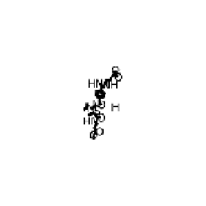 COC(=O)CCCNC(=N)c1ccc(C(=O)N=C2SC(C(=O)NCCC(=O)OC)C(C)N2C(C)C)cc1.I